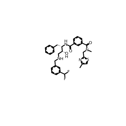 Cc1csc(CN(C)C(=O)c2cccc(C(=O)N[C@@H](Cc3ccccc3)[C@H](O)CNCc3cccc(C(F)F)c3)c2)n1